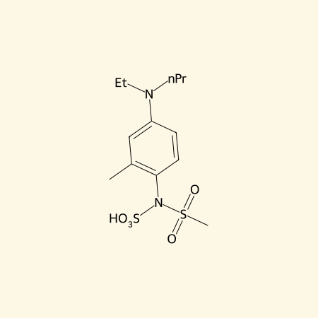 CCCN(CC)c1ccc(N(S(C)(=O)=O)S(=O)(=O)O)c(C)c1